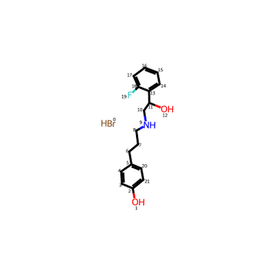 Br.Oc1ccc(CCCNCC(O)c2ccccc2F)cc1